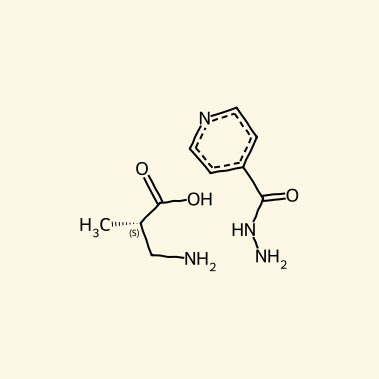 C[C@@H](CN)C(=O)O.NNC(=O)c1ccncc1